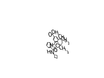 CC1(C)CCC(C)(C)c2c(Cc3ccccc3C(=O)NC3CCC3)cc(C(=O)O)cc21